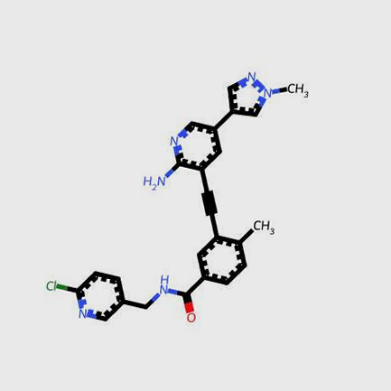 Cc1ccc(C(=O)NCc2ccc(Cl)nc2)cc1C#Cc1cc(-c2cnn(C)c2)cnc1N